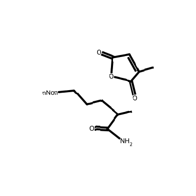 CC1=CC(=O)OC1=O.CCCCCCCCCCCCC(C)C(N)=O